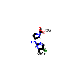 COc1nc(N[C@@H]2CCN(C(=O)OC(C)(C)C)C2)ncc1Br